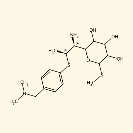 CSC1OC([C@H](N)[C@H](C)Sc2ccc(CN(C)C)cc2)C(O)C(O)C1O